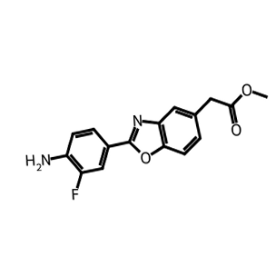 COC(=O)Cc1ccc2oc(-c3ccc(N)c(F)c3)nc2c1